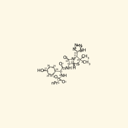 CCCS(=O)(=O)NC(C(=O)NC1C(=O)N2C(c3nnn[nH]3)C(C)(C)S[C@H]12)c1ccc(O)cc1